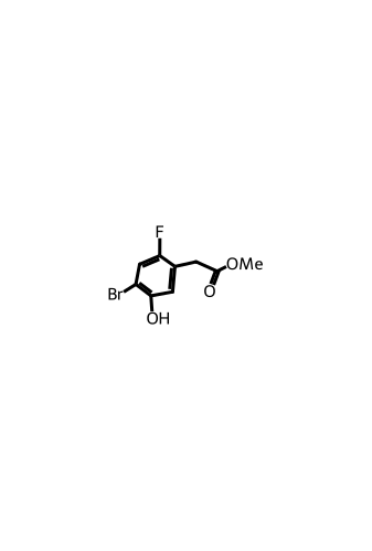 COC(=O)Cc1cc(O)c(Br)cc1F